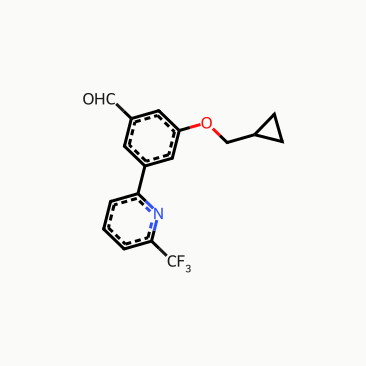 O=Cc1cc(OCC2CC2)cc(-c2cccc(C(F)(F)F)n2)c1